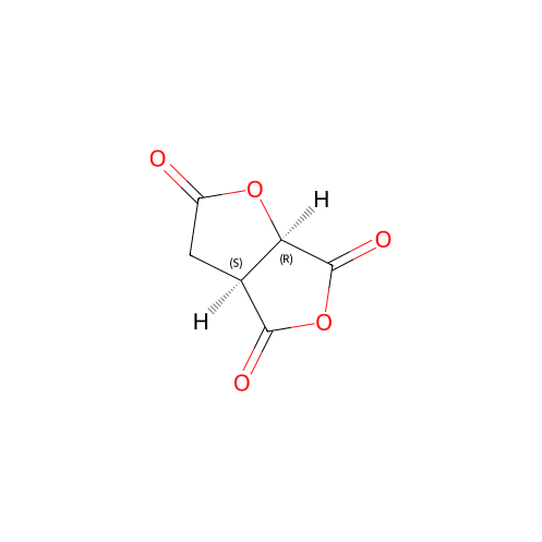 O=C1C[C@@H]2C(=O)OC(=O)[C@@H]2O1